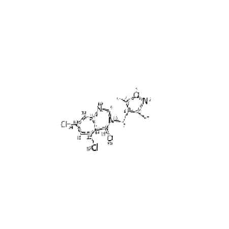 Cc1noc(C)c1Cn1cnc2cc(Cl)cc(Cl)c2c1=O